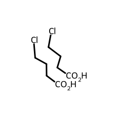 O=C(O)CCCCl.O=C(O)CCCCl